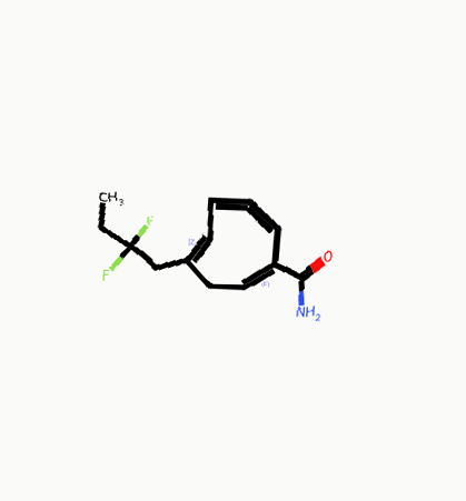 CCC(F)(F)C/C1=C\C=C=C/C(C(N)=O)=C\C1